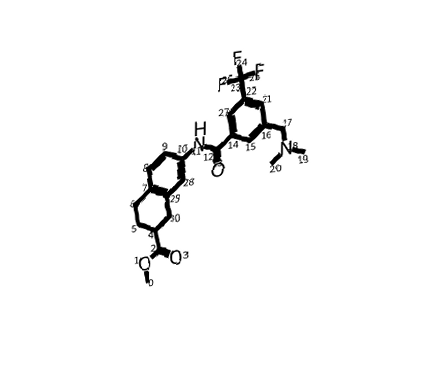 COC(=O)C1CCc2ccc(NC(=O)c3cc(CN(C)C)cc(C(F)(F)F)c3)cc2C1